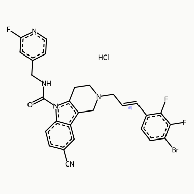 Cl.N#Cc1ccc2c(c1)c1c(n2C(=O)NCc2ccnc(F)c2)CCN(C/C=C/c2ccc(Br)c(F)c2F)C1